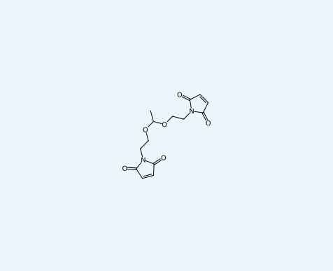 CC(OCCN1C(=O)C=CC1=O)OCCN1C(=O)C=CC1=O